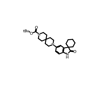 CC(C)(C)OC(=O)N1CCC2(CC1)CCN(c1ccc3c(c1)C1(CCCCC1)C(=O)N3)CC2